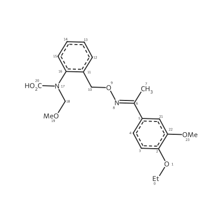 CCOc1ccc(C(C)=NOCc2ccccc2N(COC)C(=O)O)cc1OC